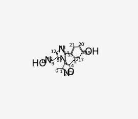 Cc1noc(C)c1-n1c(/C=N/O)cnc1-c1ccc(O)cc1